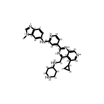 Cn1cnc2ccc(Nc3cc(-c4nc(CNC5CCNCC5)c5c(C6CC6)cncc5n4)ccn3)cc21